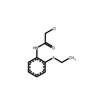 CCSc1ccccc1NC(=O)CCl